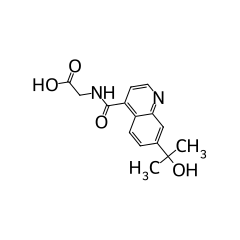 CC(C)(O)c1ccc2c(C(=O)NCC(=O)O)ccnc2c1